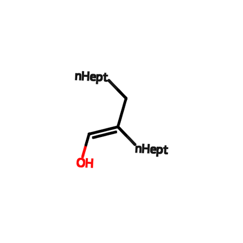 CCCCCCCCC(=CO)CCCCCCC